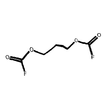 O=C(F)OCCCOC(=O)F